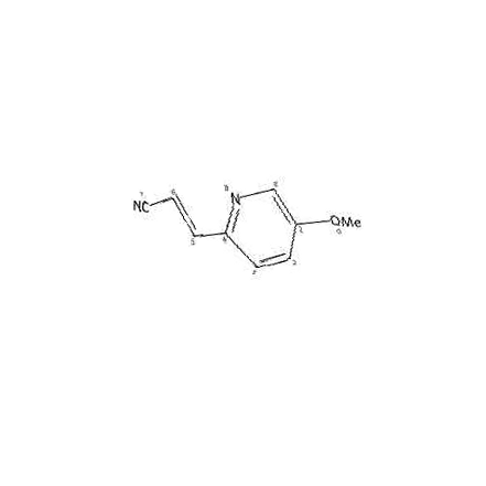 COc1ccc(C=CC#N)nc1